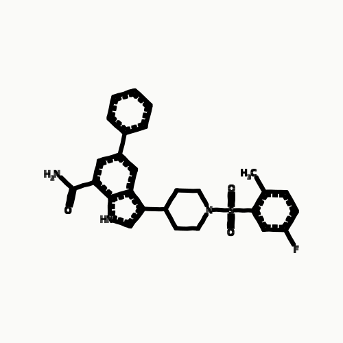 Cc1ccc(F)cc1S(=O)(=O)N1CCC(c2c[nH]c3c(C(N)=O)cc(-c4ccccc4)cc23)CC1